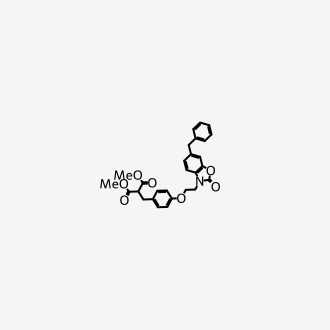 COC(=O)C(Cc1ccc(OCCn2c(=O)oc3cc(Cc4ccccc4)ccc32)cc1)C(=O)OC